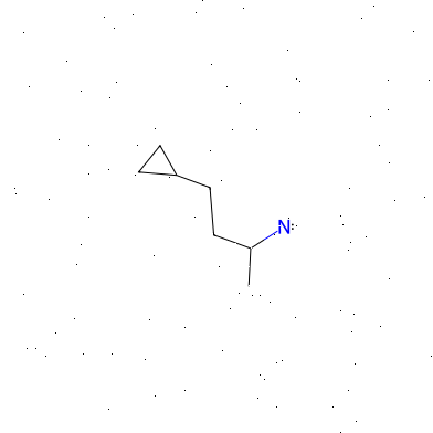 CC([N])CCC1CC1